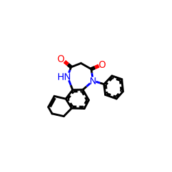 O=C1CC(=O)N(c2ccccc2)c2ccc3c(c2N1)C=CCC3